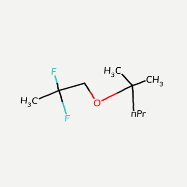 CCCC(C)(C)OCC(C)(F)F